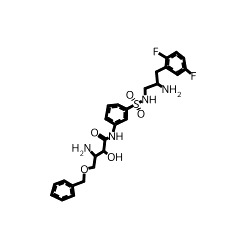 NC(CNS(=O)(=O)c1cccc(NC(=O)C(O)C(N)COCc2ccccc2)c1)Cc1cc(F)ccc1F